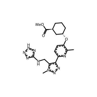 COC(=O)[C@H]1CCC[C@H](Oc2ccc(-c3nnn(C)c3CNc3nn[nH]n3)nc2C)C1